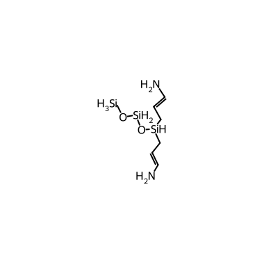 NC=CC[SiH](CC=CN)O[SiH2]O[SiH3]